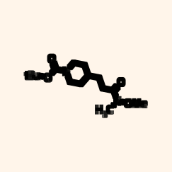 CON(C)C(=O)CCC1CCN(C(=O)OC(C)(C)C)CC1